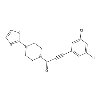 O=C(C#Cc1cc(Cl)cc(Cl)c1)N1CCN(c2nccs2)CC1